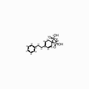 O=S(=O)(O)C1(S(=O)(=O)O)C=CC(CCc2ccccc2)=CC1